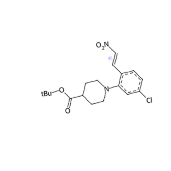 CC(C)(C)OC(=O)C1CCN(c2cc(Cl)ccc2/C=C/[N+](=O)[O-])CC1